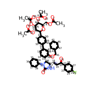 CC(=O)OC[C@H]1OC(c2ccc(-c3ccc([C@@H]4[C@H](/C=C/C(=O)c5ccc(F)cc5)NC(=O)N4c4ccccc4)c(OCc4ccccc4)c3)cc2)[C@H](OC(C)=O)[C@@H](OC(C)=O)[C@@H]1OC(C)=O